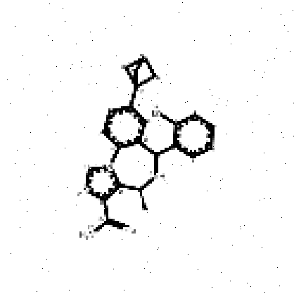 C[C@@H]1NC(c2ccccc2Br)c2cc(C34CC(C3)C4)ccc2-n2cnc(C(N)=O)c21